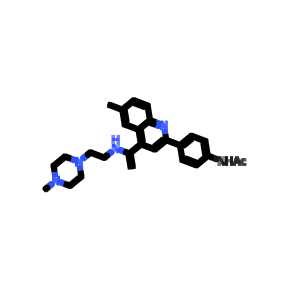 C=C(NCCN1CCN(C)CC1)c1cc(-c2ccc(NC(C)=O)cc2)nc2ccc(C)cc12